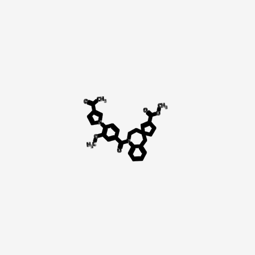 COC(=O)C1=CC2(CC1)CCN(C(=O)c1ccc(-n3ccc(C(C)=O)c3)c(OC)c1)c1ccccc1C2